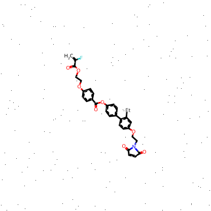 C=C(F)C(=O)OCCOc1ccc(C(=O)Oc2ccc(-c3ccc(OCCN4C(=O)C=CC4=O)cc3CC)cc2)cc1